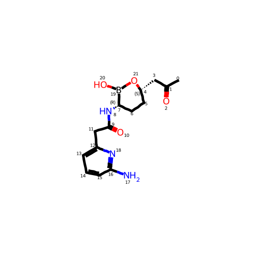 CC(=O)C[C@@H]1CC[C@H](NC(=O)Cc2cccc(N)n2)B(O)O1